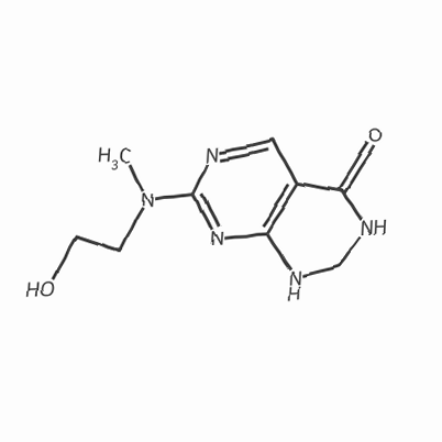 CN(CCO)c1ncc2c(n1)NCNC2=O